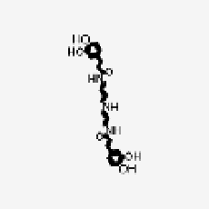 O=C(/C=C/c1ccc(O)c(O)c1)NCCCNCCCCNC(=O)CCc1ccc(O)c(O)c1